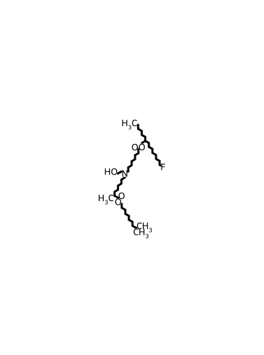 CCCCCCC(CCCCCCCCF)COC(=O)CCCCCCCN(CCO)CCCCCCC(C)C(=O)OCCCCCCCCC(C)C